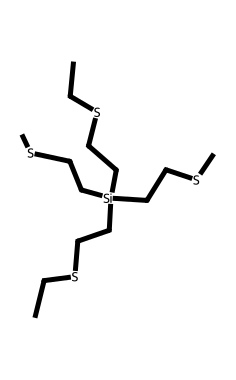 CCSCC[Si](CCSC)(CCSC)CCSCC